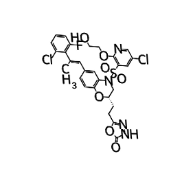 C/C(=C\c1ccc2c(c1)N(S(=O)(=O)c1cc(Cl)cnc1OCCO)C[C@H](CCc1n[nH]c(=O)o1)O2)c1c(F)cccc1Cl